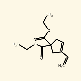 C=CC1=CCC(C(=O)OCC)(C(=O)OCC)C1